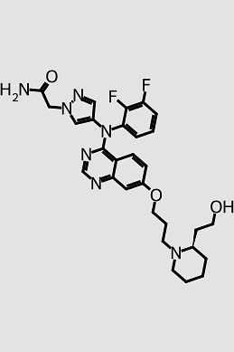 NC(=O)Cn1cc(N(c2cccc(F)c2F)c2ncnc3cc(OCCCN4CCCC[C@@H]4CCO)ccc23)cn1